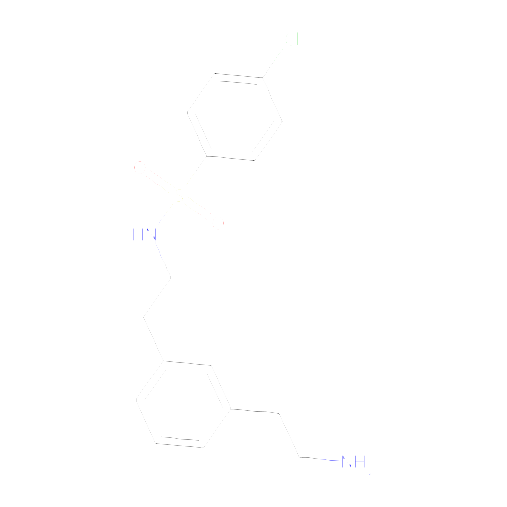 NCCc1cccc(CCNS(=O)(=O)c2ccc(Cl)cc2)c1